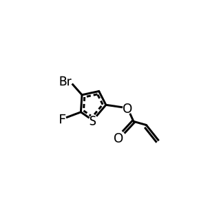 C=CC(=O)Oc1cc(Br)c(F)s1